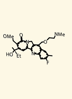 CC[C@](C)(O)c1cc2n(c(=O)c1COC)Cc1c-2nc2cc(F)c(C)cc2c1COCCNC